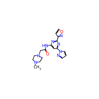 CN1CCN(CC(=O)Nc2cc(-n3cccn3)nc(-c3ccon3)n2)CC1